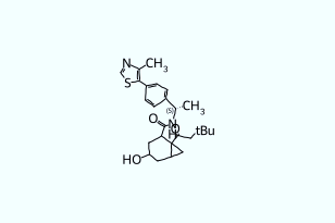 Cc1ncsc1-c1ccc([C@H](C)NC(=O)C2CC(O)CC3CC32C(=O)CC(C)(C)C)cc1